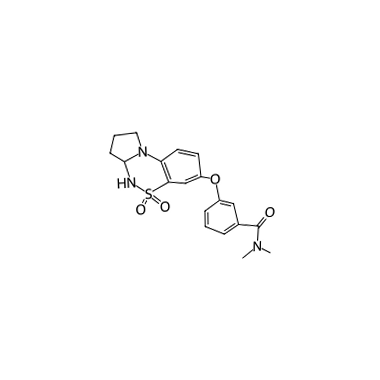 CN(C)C(=O)c1cccc(Oc2ccc3c(c2)S(=O)(=O)NC2CCCN32)c1